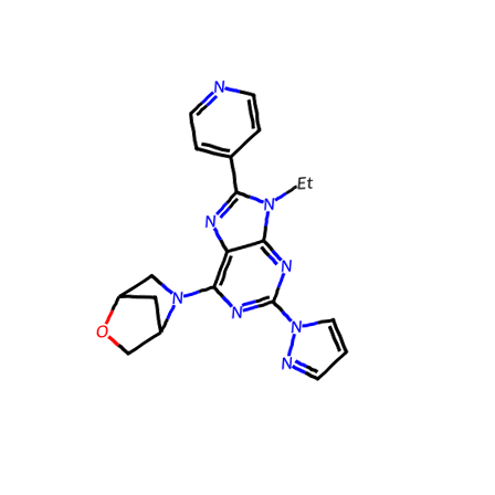 CCn1c(-c2ccncc2)nc2c(N3CC4CC3CO4)nc(-n3cccn3)nc21